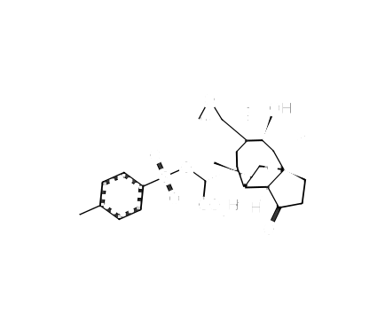 Cc1ccc(S(=O)(=O)OC(C(=O)O)[C@@H]2C[C@@](C)([C@@H]3CO3)[C@@H](O)[C@H](C)[C@]34CCC(=O)[C@H]3[C@]2(C)[C@H](C)CC4)cc1